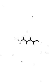 CN(C)C(O)C(O)C(O)C(O)CO